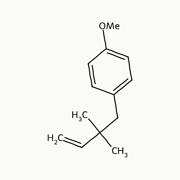 C=CC(C)(C)Cc1ccc(OC)cc1